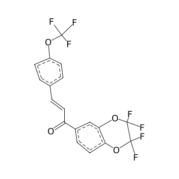 O=C(C=Cc1ccc(OC(F)(F)F)cc1)c1ccc2c(c1)OC(F)(F)C(F)(F)O2